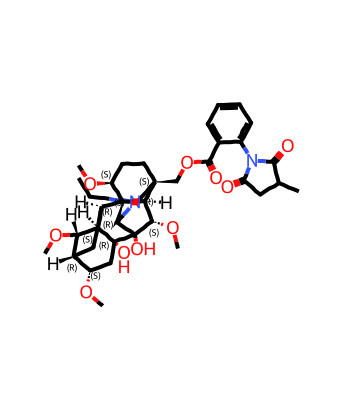 CCN1C[C@]2(COC(=O)c3ccccc3N3C(=O)CC(C)C3=O)CC[C@H](OC)[C@]34C1C(O)([C@@H](OC)[C@H]23)[C@@]1(O)C[C@H](OC)[C@H]2C[C@@H]4[C@@H]1[C@H]2OC